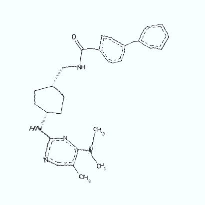 Cc1cnc(N[C@H]2CC[C@@H](CNC(=O)c3ccc(-c4ccccc4)cc3)CC2)nc1N(C)C